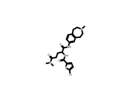 CN1CCc2ccc(NC(=O)C(CCC(=O)N(C)C)NC(=O)c3ccc(Cl)s3)cc2CC1